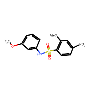 COc1cc([N+](=O)[O-])ccc1S(=O)(=O)Nc1cccc(OC(F)(F)F)c1